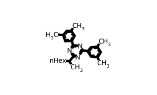 CCC[CH]CCC(C)c1nc(-c2cc(C)cc(C)c2)nc(-c2cc(C)cc(C)c2)n1